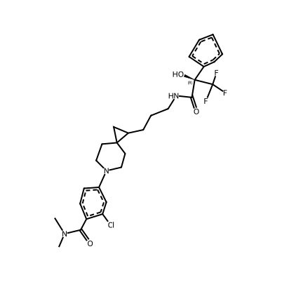 CN(C)C(=O)c1ccc(N2CCC3(CC2)CC3CCCNC(=O)[C@](O)(c2ccccc2)C(F)(F)F)cc1Cl